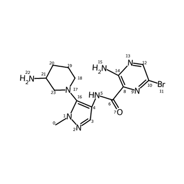 Cn1ncc(NC(=O)c2nc(Br)cnc2N)c1N1CCCC(N)C1